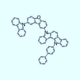 c1ccc(-c2ccc(-n3c4ccccc4c4ccc5c(c6ccccc6n5-c5ccc6oc7ccc(-n8c9ccccc9c9ccccc98)cc7c6c5)c43)cc2)cc1